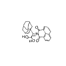 O=C1c2cccc3cccc(c23)C(=O)N1[C@@H](C(O)O)C12CC3CC(CC(C3)C1)C2